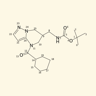 CC(C)(C)OC(=O)NCC1CN(C(=O)C2CCCCC2)c2ccnn2C1